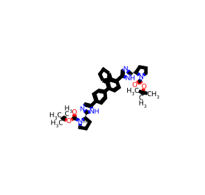 CC(C)(C)OC(=O)N1CCC[C@H]1c1ncc(-c2ccc(-c3ccc(-c4cnc([C@@H]5CCCN5C(=O)OC(C)(C)C)[nH]4)c4c3C3CCC4C3)cc2)[nH]1